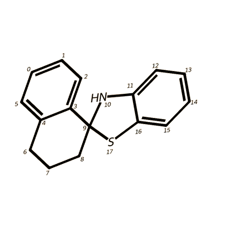 c1ccc2c(c1)CCCC21Nc2ccccc2S1